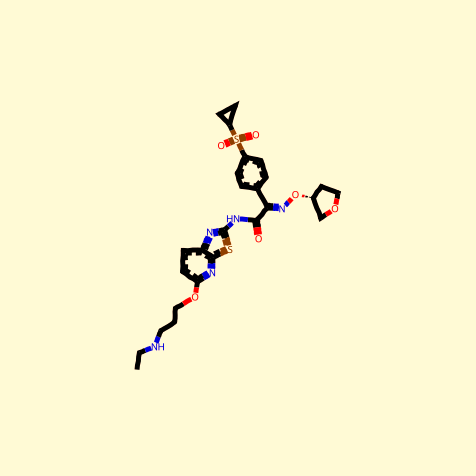 CCNCCCOc1ccc2nc(NC(=O)/C(=N/O[C@@H]3CCOC3)c3ccc(S(=O)(=O)C4CC4)cc3)sc2n1